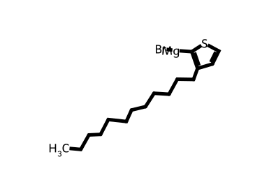 CCCCCCCCCCCCc1ccs[c]1[Mg][Br]